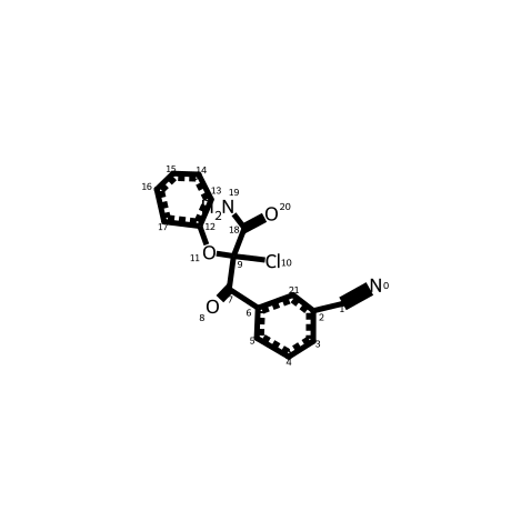 N#Cc1cccc(C(=O)C(Cl)(Oc2ccccc2)C(N)=O)c1